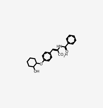 O=C(O)/C(=C\c1ccc(OC2CCCCC2O)cc1)NC(=O)c1ccccc1